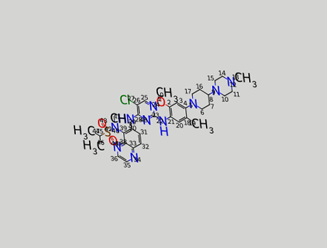 COc1cc(N2CCC(N3CCN(C)CC3)CC2)c(C)cc1Nc1ncc(Cl)c(Nc2ccc3nccnc3c2N(C)S(=O)(=O)C(C)C)n1